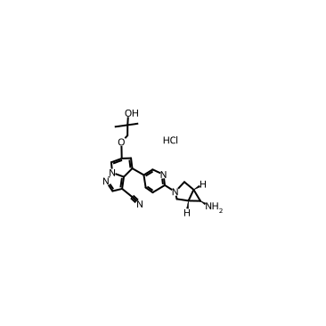 CC(C)(O)COc1cc(-c2ccc(N3C[C@@H]4[C@@H](N)[C@@H]4C3)nc2)c2c(C#N)cnn2c1.Cl